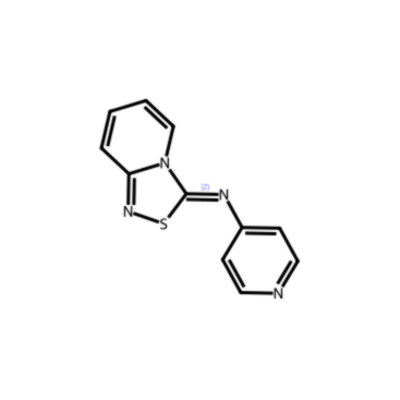 c1ccn2/c(=N/c3ccncc3)snc2c1